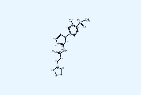 CS(=O)(=O)c1ccc(N2C=CN=C(NC(=O)CC[C@H]3CCCO3)C2)cc1Cl